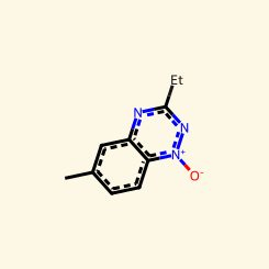 CCc1nc2cc(C)ccc2[n+]([O-])n1